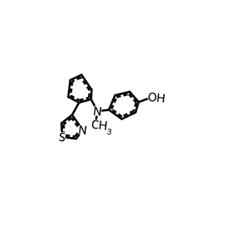 CN(c1ccc(O)cc1)c1ccccc1-c1cscn1